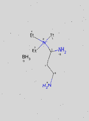 B.CC[N+](CC)(CC)C(N)CCN